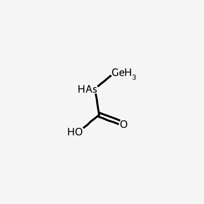 O=C(O)[AsH][GeH3]